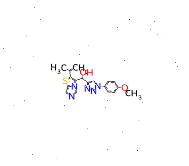 C=C(C)c1sc2cncn2c1C(O)c1cn(-c2ccc(OC)cc2)nn1